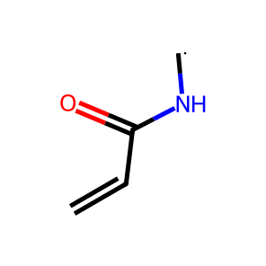 [CH2]NC(=O)C=C